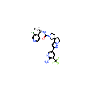 C[C@@H](NC(=O)N1CC[C@@]2(CCn3nc(-c4cnc(N)c(C(F)(F)F)c4)cc32)C1)c1ccncc1Cl